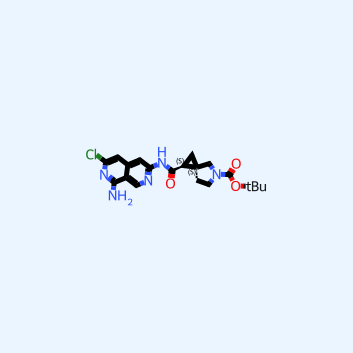 CC(C)(C)OC(=O)N1CC[C@]2(C[C@@H]2C(=O)Nc2cc3cc(Cl)nc(N)c3cn2)C1